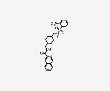 O=C(NCC1CCC(CNS(=O)(=O)c2ccccc2[N+](=O)[O-])CC1)c1cc2ccccc2cn1